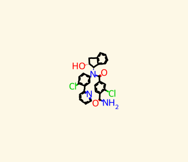 NC(=O)c1ccc(C(=O)N(c2ccc(Cl)c(-c3ccccn3)c2)[C@H]2c3ccccc3C[C@H]2O)cc1Cl